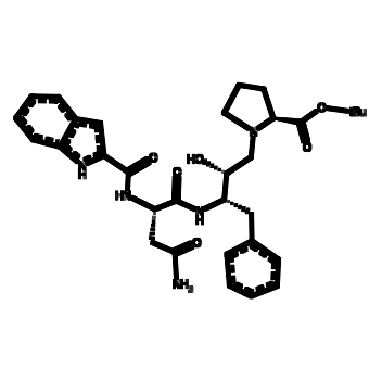 CC(C)(C)OC(=O)[C@@H]1CCCN1C[C@@H](O)[C@H](Cc1ccccc1)NC(=O)[C@H](CC(N)=O)NC(=O)c1cc2ccccc2[nH]1